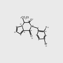 CCOC(=O)C1C(=O)N(Cc2ccc(Br)cc2F)C(=O)c2cccn21